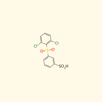 O=S(=O)(O)c1cccc(S(=O)(=O)c2c(Cl)cccc2Cl)c1